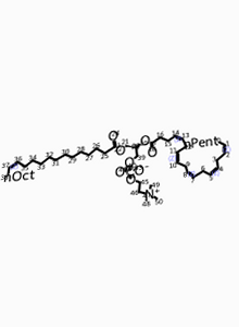 CCCCC/C=C\C/C=C\C/C=C\C/C=C\C/C=C\CCC(=O)O[C@H](COC(=O)CCCCCCCCCCC/C=C\CCCCCCCC)COP(=O)([O-])OCC[N+](C)(C)C